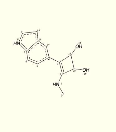 CNC1=C(c2ccc3[nH]ccc3c2)C(O)C1O